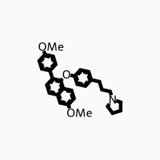 COc1ccc(-c2ccc3cc(OC)ccc3c2Oc2ccc(CCCN3CCCC3)cc2)cc1